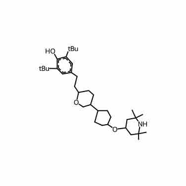 CC1(C)CC(OC2CCC(C3CCC(CCc4cc(C(C)(C)C)c(O)c(C(C)(C)C)c4)OC3)CC2)CC(C)(C)N1